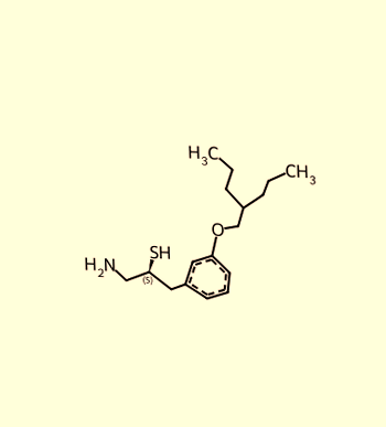 CCCC(CCC)COc1cccc(C[C@H](S)CN)c1